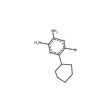 Nc1nc(Br)c(C2CCCCC2)nc1N